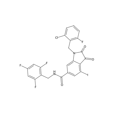 O=C(NCc1c(F)cc(F)cc1F)c1cc(I)c2c(c1)N(Cc1c(F)cccc1Cl)C(=O)C2=O